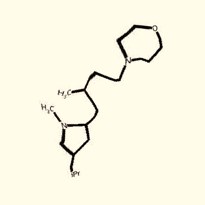 CC(CCN1CCOCC1)CC1CC(C(C)C)CN1C